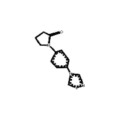 O=C1CCCN1c1ccc(-n2cnnc2)cc1